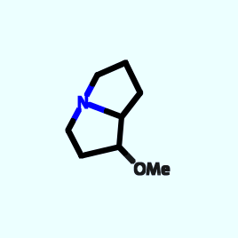 COC1CCN2CCCC12